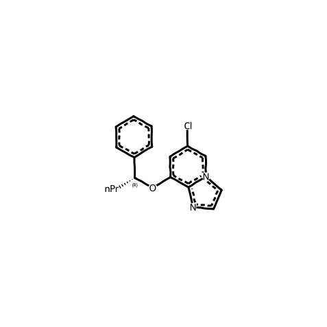 CCC[C@@H](Oc1cc(Cl)cn2ccnc12)c1ccccc1